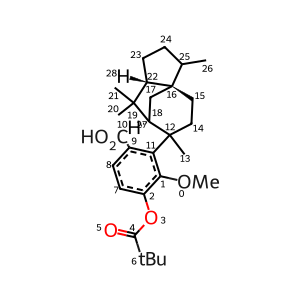 COc1c(OC(=O)C(C)(C)C)ccc(C(=O)O)c1C1(C)CC[C@@]23C[C@@H]1C(C)(C)[C@@H]2CCC3C